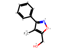 OCc1onc(-c2ccccc2)c1C(F)(F)F